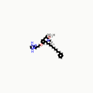 O=C(O)CC1Cc2ccc(OCCc3cn4c(n3)NCCN4)cc2C(CCCCCCCCCCc2ccccc2)N(CC(F)(F)F)C1=O